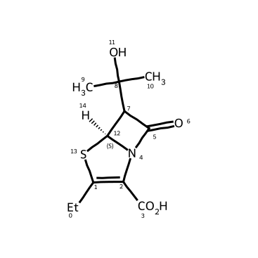 CCC1=C(C(=O)O)N2C(=O)C(C(C)(C)O)[C@@H]2S1